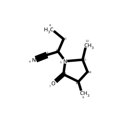 CCC(C#N)N1C(=O)C(C)CC1C